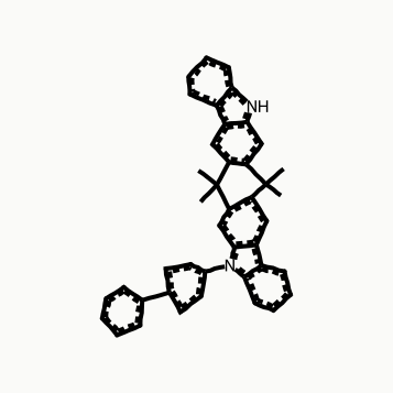 CC1(C)c2cc3[nH]c4ccccc4c3cc2C(C)(C)c2cc3c(cc21)c1ccccc1n3-c1ccc(-c2ccccc2)cc1